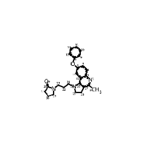 Cc1nc2ccc(Oc3ccccc3)cc2c2c1CCN2CCCN1CCCC1=O